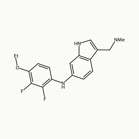 CCOc1ccc(Nc2ccc3c(CNC)c[nH]c3c2)c(F)c1F